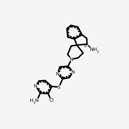 Nc1nccc(Sc2cnc(N3CCC4(CC3)c3ccccc3C[C@H]4N)cn2)c1Cl